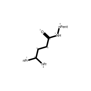 CCCCCNC(=O)CCC(CCC)CCC